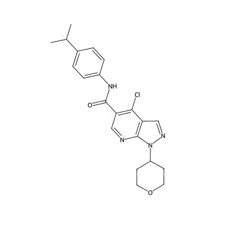 CC(C)c1ccc(NC(=O)c2cnc3c(cnn3C3CCOCC3)c2Cl)cc1